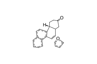 O=C1CC[C@H]2c3ccc4ccccc4c3C=CC2C1.c1ccoc1